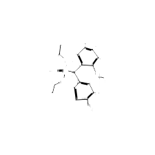 CCOP(=O)(OCC)C(c1ccc(Br)cc1)c1ccccc1NC